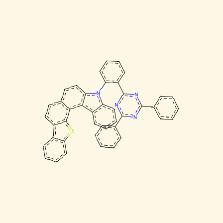 c1ccc(-c2nc(-c3ccccc3)nc(-c3ccccc3-n3c4ccccc4c4c5c(ccc6c7ccccc7sc65)ccc43)n2)cc1